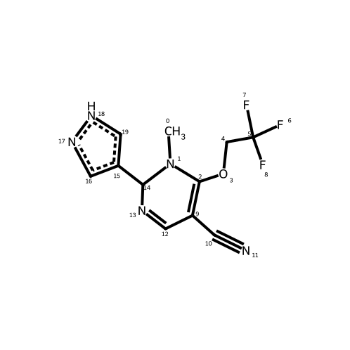 CN1C(OCC(F)(F)F)=C(C#N)C=NC1c1cn[nH]c1